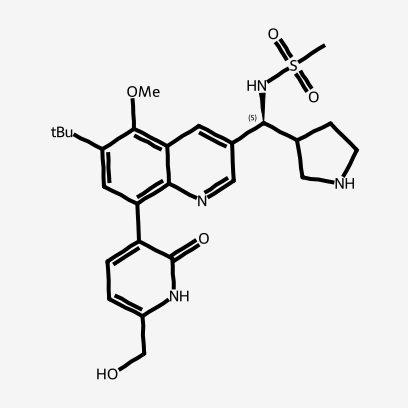 COc1c(C(C)(C)C)cc(-c2ccc(CO)[nH]c2=O)c2ncc([C@@H](NS(C)(=O)=O)C3CCNC3)cc12